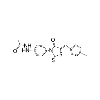 CC(=O)NNc1ccc(N2C(=O)C(=Cc3ccc(C)cc3)SC2=S)cc1